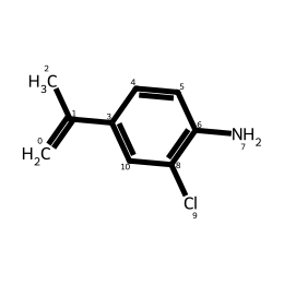 C=C(C)c1ccc(N)c(Cl)c1